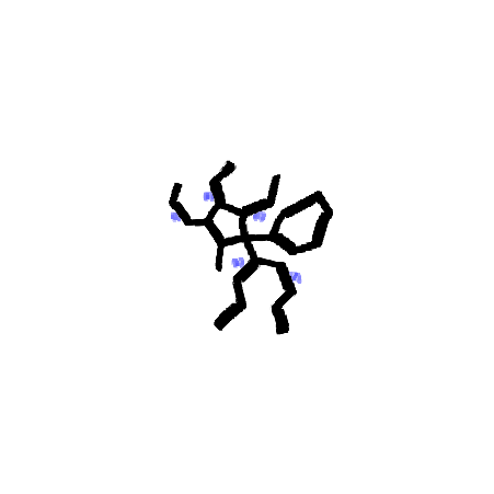 C=C/C=C\C(=C/C=C)C1(c2ccccc2)C(C)=C(/C=C\C)C(=C/C)/C1=C\C